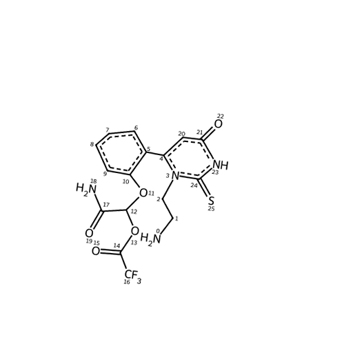 NCCn1c(-c2ccccc2OC(OC(=O)C(F)(F)F)C(N)=O)cc(=O)[nH]c1=S